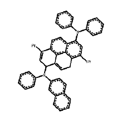 CC(C)C1=CC(N(c2ccccc2)c2ccc3ccccc3c2)C2=CCc3c(C(C)C)cc(N(c4ccccc4)c4ccccc4)c4ccc1c2c34